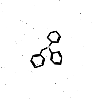 C1=CC(N(Cc2ccccc2)c2ccccc2)CCC1